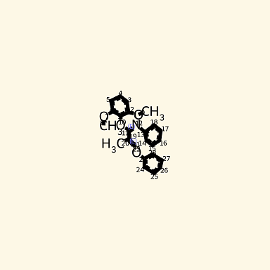 COc1cccc(OC)c1OC(=N/c1ccccc1)/C(C)=C/Oc1ccccc1